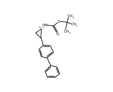 CC(C)(C)OC(=O)N[C@H]1CC1c1ccc(-c2ccccc2)cc1